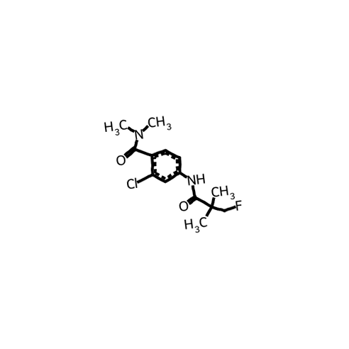 CN(C)C(=O)c1ccc(NC(=O)C(C)(C)CF)cc1Cl